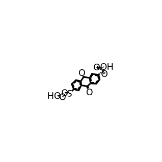 O=C1c2ccc(S(=O)(=O)O)cc2C(=O)c2ccc(SOOO)cc21